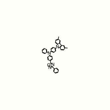 Cc1ccc2c(c1)c1cc(C)ccc1n2-c1ccc(N(c2ccccc2)c2ccc(-c3nc(-c4ccccc4)no3)cc2)cc1